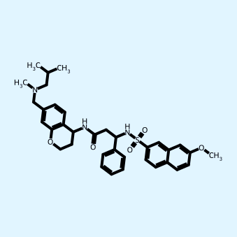 COc1ccc2ccc(S(=O)(=O)NC(CC(=O)NC3CCOc4cc(CN(C)CC(C)C)ccc43)c3ccccc3)cc2c1